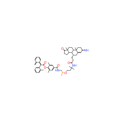 C=c1cccc/c1=C(\C(=O)Oc1c(C)cc(C(=O)NCP(C)OCCC(C)(C)NC(=O)CC[C@@H]2CC3=CC(=N)CCC3(C)C3CCC4(C)C(=O)CCC4C32)cc1C)c1ccccc1C